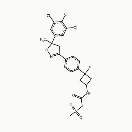 CS(=O)(=O)CC(=O)NC1CC(F)(c2ccc(C3=NOC(c4cc(Cl)c(Cl)c(Cl)c4)(C(F)(F)F)C3)cc2)C1